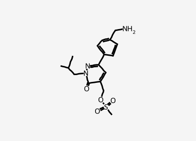 CC(C)Cn1nc(-c2ccc(CN)cc2)cc(COS(C)(=O)=O)c1=O